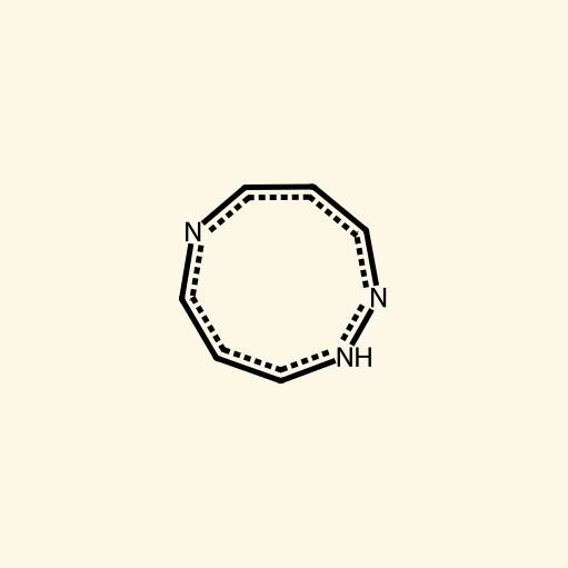 c1cnccc[nH]nc1